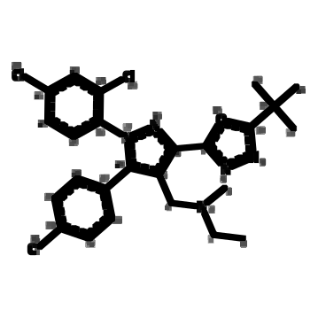 CCN(C)Cc1c(-c2nnc(C(C)(C)C)o2)nn(-c2ccc(Cl)cc2Cl)c1-c1ccc(Cl)cc1